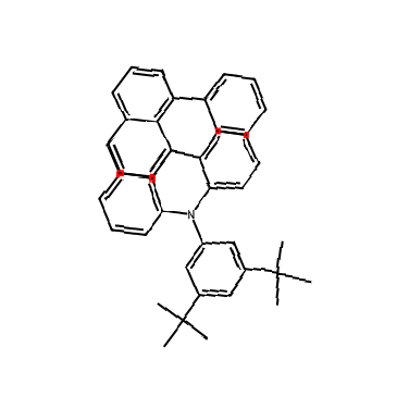 CC(C)(C)c1cc(N(c2ccccc2)c2ccccc2-c2cccc3cccc(-c4ccccc4)c23)cc(C(C)(C)C)c1